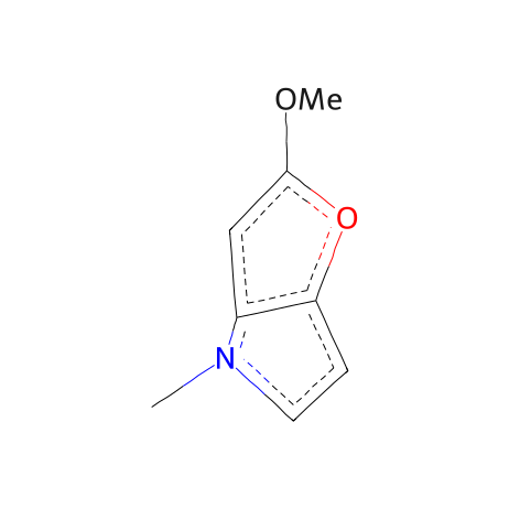 COc1cc2c(ccn2C)o1